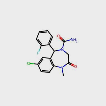 CN1C(=O)CN(C(N)=O)C(c2ccccc2F)c2cc(Cl)ccc21